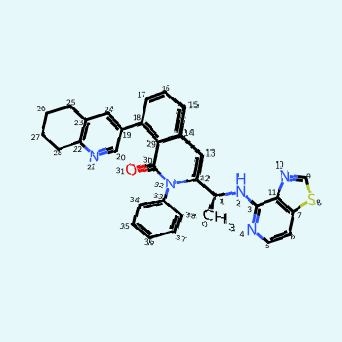 C[C@H](Nc1nccc2scnc12)c1cc2cccc(-c3cnc4c(c3)CCCC4)c2c(=O)n1-c1ccccc1